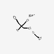 ClC(Cl)(Cl)Cl.[Na+].[O-]Cl